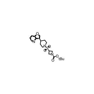 CC(C)(C)OC(=O)N1CC(S(=O)(=O)N2CCC(c3coc4cccnc34)CC2)C1